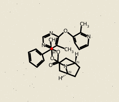 Cc1ncccc1Oc1ncnc(OC2C[C@@H]3CC[C@@H](C2)N3C(=O)O[C@H](C)c2ccccc2)c1C